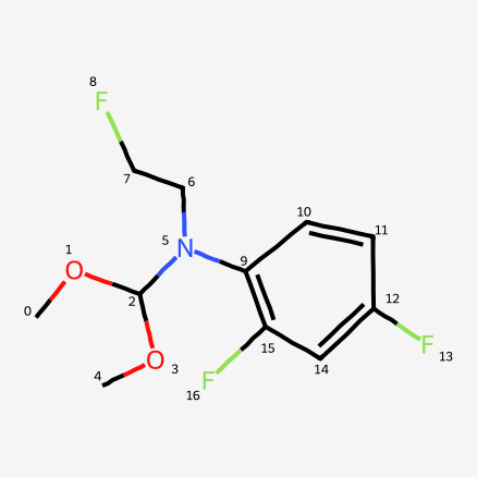 COC(OC)N(CCF)c1ccc(F)cc1F